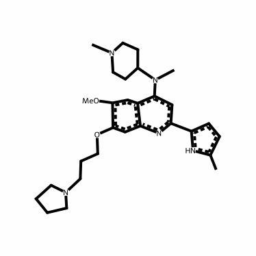 COc1cc2c(N(C)C3CCN(C)CC3)cc(-c3ccc(C)[nH]3)nc2cc1OCCCN1CCCC1